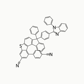 N#Cc1ccc(-c2cc(C#N)cc3sc4ccc5c(c4c23)-c2ccccc2C5(c2ccccc2)c2ccc(-c3nc4ccccc4n3-c3ccccc3)cc2)cc1